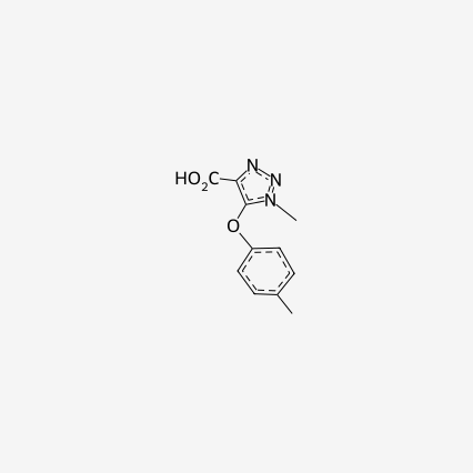 Cc1ccc(Oc2c(C(=O)O)nnn2C)cc1